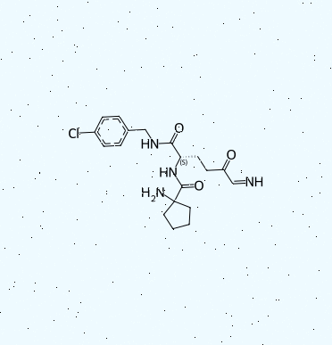 N=CC(=O)CC[C@H](NC(=O)C1(N)CCCC1)C(=O)NCc1ccc(Cl)cc1